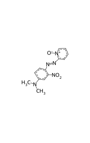 CN(C)c1ccc(N=Nc2cccc[n+]2[O-])c([N+](=O)[O-])c1